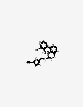 N#Cc1cnc(CNC2=NSc3cccc(-c4ccnc(F)c4Cl)c3N2)s1